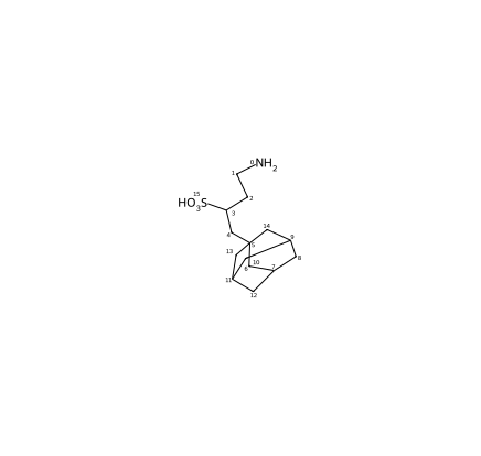 NCCC(CC12CC3CC(CC(C3)C1)C2)S(=O)(=O)O